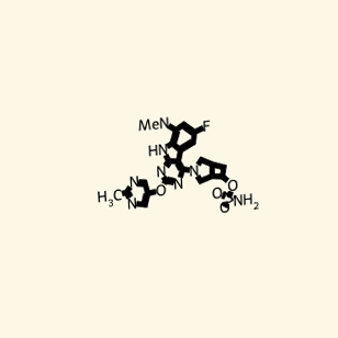 CNc1cc(F)cc2c1[nH]c1nc(Oc3cnc(C)nc3)nc(N3CC4CC(OS(N)(=O)=O)C4C3)c12